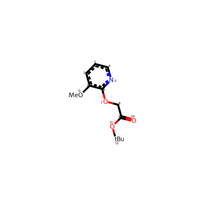 COc1cccnc1OCC(=O)OC(C)(C)C